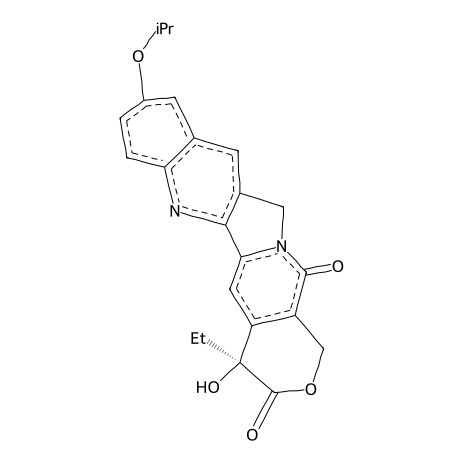 CC[C@@]1(O)C(=O)OCc2c1cc1n(c2=O)Cc2cc3cc(OC(C)C)ccc3nc2-1